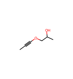 CC#COCC(C)O